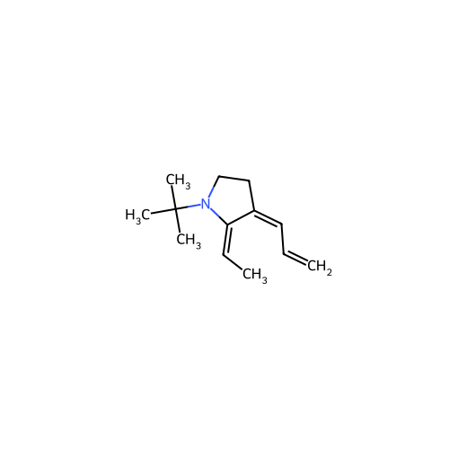 C=C/C=C1/CCN(C(C)(C)C)/C1=C/C